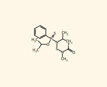 CC(C)OP(=S)(c1ccccc1)N(SN(C)C(=O)F)C(C)C